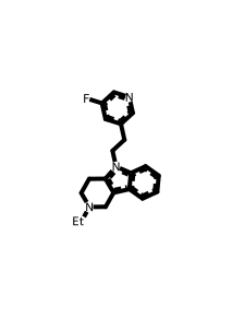 CCN1CCc2c(c3ccccc3n2CCc2cncc(F)c2)C1